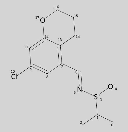 CC(C)[S+]([O-])N=Cc1cc(Cl)cc2c1CCCO2